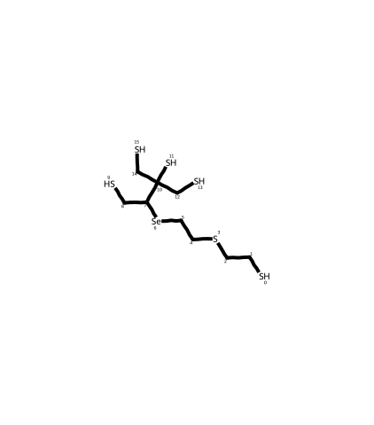 SCCSCC[Se]C(CS)C(S)(CS)CS